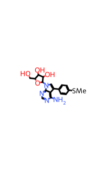 CSc1ccc(-c2cn(C3OC(CO)C(O)C3O)c3ncnc(N)c23)cc1